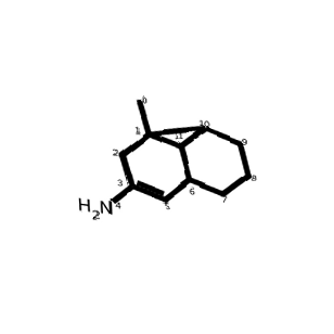 CC12CC(N)=CC3CCCC1C32